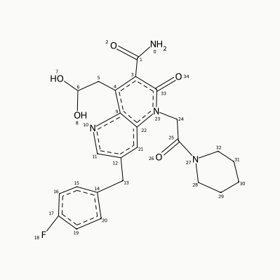 NC(=O)c1c(CC(O)O)c2ncc(Cc3ccc(F)cc3)cc2n(CC(=O)N2CCCCC2)c1=O